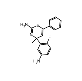 CC1(c2cc(N)ccc2F)C=C(c2ccccc2)SC(N)=N1